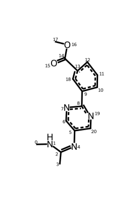 CNC(C)=Nc1cnc(-c2cccc(C(=O)OC)c2)nc1